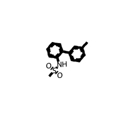 Cc1cccc(-c2ccccc2NS(C)(=O)=O)c1